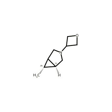 C[C@@H]1C2CN(C3COC3)C[C@H]21